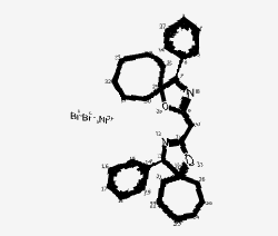 [Br-].[Br-].[Ni+2].c1ccc([C@H]2N=C(CC3=N[C@H](c4ccccc4)C4(CCCCCC4)O3)OC23CCCCCC3)cc1